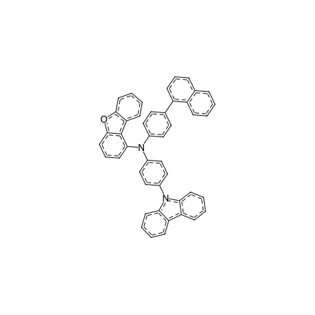 c1ccc2c(-c3ccc(N(c4ccc(-n5c6ccccc6c6ccccc65)cc4)c4cccc5oc6ccccc6c45)cc3)cccc2c1